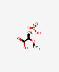 C=C(OC)C(=O)O.O=[SH](=O)O